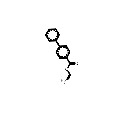 C=COC(=O)c1ccc(-c2ccccc2)cc1